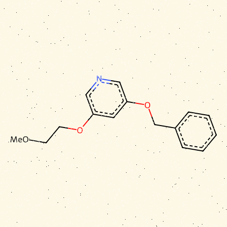 COCCOc1cncc(OCc2ccccc2)c1